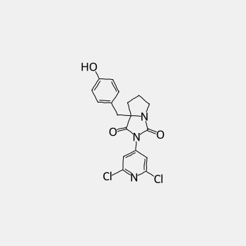 O=C1N(c2cc(Cl)nc(Cl)c2)C(=O)C2(Cc3ccc(O)cc3)CCCN12